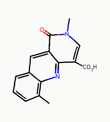 Cc1cccc2cc3c(=O)n(C)cc(C(=O)O)c3nc12